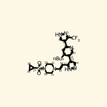 CCCCc1cc(-c2c[nH]nc2C(F)(F)F)ncc1-c1cn[nH]c1/C=C/N1CCN(S(=O)(=O)C2CC2)CC1